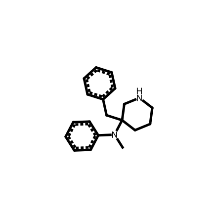 CN(c1ccccc1)C1(Cc2ccccc2)CCCNC1